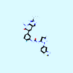 CNc1ncc2cc(-c3ccc(F)c(NC(=O)Nc4cc(C(C)(C)C)nn4-c4ccc5scnc5c4)c3)c(=O)n(C)c2n1